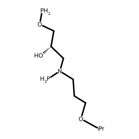 CC(C)OCCCN(P)C[C@H](O)COP